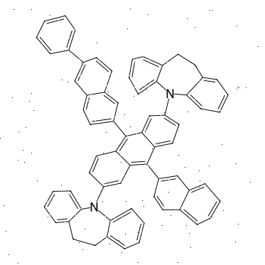 c1ccc(-c2ccc3cc(-c4c5ccc(N6c7ccccc7CCc7ccccc76)cc5c(-c5ccc6ccccc6c5)c5ccc(N6c7ccccc7CCc7ccccc76)cc45)ccc3c2)cc1